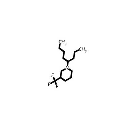 CCCCC(CCC)N1CCCC(C(F)(F)F)C1